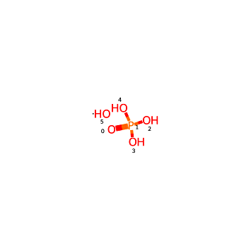 O=P(O)(O)O.[OH]